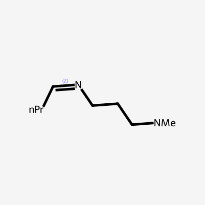 CCC/C=N\CCCNC